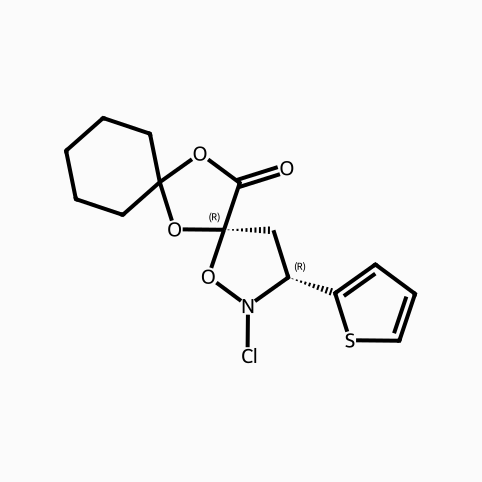 O=C1OC2(CCCCC2)O[C@@]12C[C@H](c1cccs1)N(Cl)O2